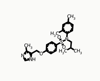 Cc1ccc(N(CC(C)C)S(=O)(=O)c2ccc(OCc3[nH]cnc3C)cc2)c(C)c1